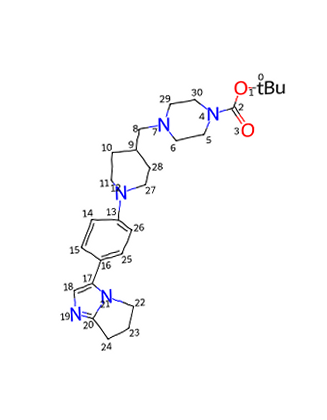 CC(C)(C)OC(=O)N1CCN(CC2CCN(c3ccc(-c4cnc5n4CCC5)cc3)CC2)CC1